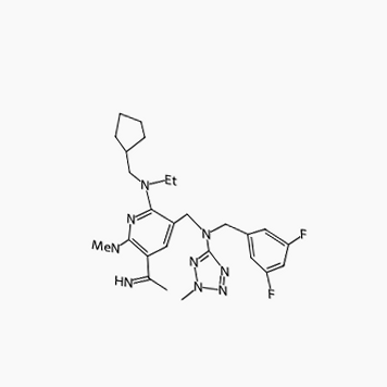 CCN(CC1CCCC1)c1nc(NC)c(C(C)=N)cc1CN(Cc1cc(F)cc(F)c1)c1nnn(C)n1